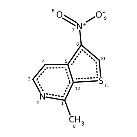 Cc1nccc2c([N+](=O)[O-])csc12